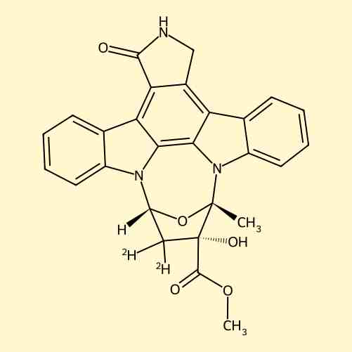 [2H]C1([2H])[C@H]2O[C@](C)(n3c4ccccc4c4c5c(c6c7ccccc7n2c6c43)C(=O)NC5)[C@@]1(O)C(=O)OC